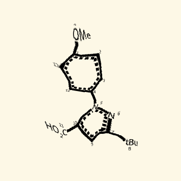 COc1ccc(-n2nc(C(C)(C)C)cc2C(=O)O)cc1